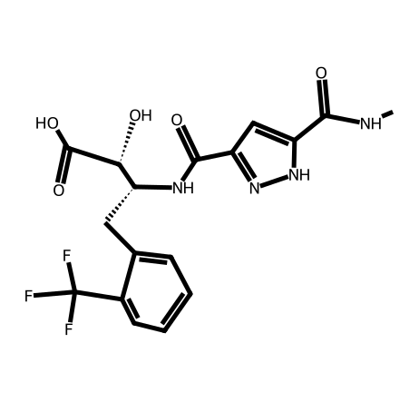 CNC(=O)c1cc(C(=O)N[C@H](Cc2ccccc2C(F)(F)F)[C@@H](O)C(=O)O)n[nH]1